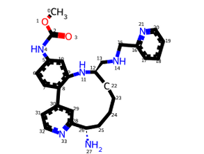 COC(=O)Nc1ccc2c(c1)N[C@@H](CNCc1ccccn1)CCCC[C@H](N)c1cc-2ccn1